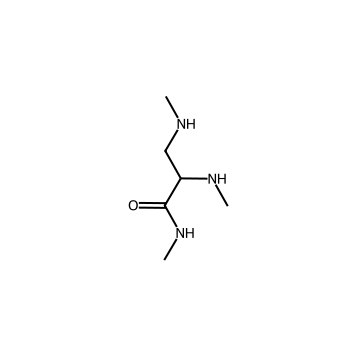 CNCC(NC)C(=O)NC